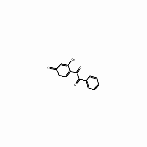 O=C1C=C(O)C(C(=O)C(=O)c2ccccc2)=CC1